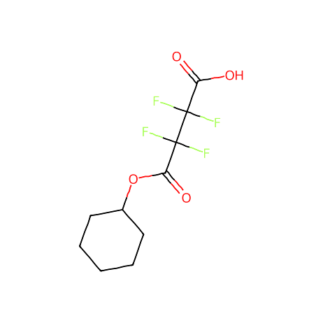 O=C(O)C(F)(F)C(F)(F)C(=O)OC1CCCCC1